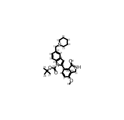 COc1ccc(-c2cc3cc(CN4CCCCC4)ccc3n2C(=O)OC(C)(C)C)c2c1CNC2=O